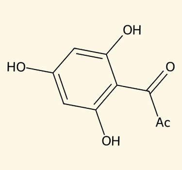 CC(=O)C(=O)c1c(O)cc(O)cc1O